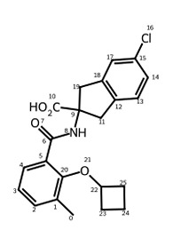 Cc1cccc(C(=O)NC2(C(=O)O)Cc3ccc(Cl)cc3C2)c1OC1CCC1